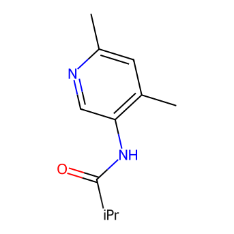 Cc1cc(C)c(NC(=O)C(C)C)cn1